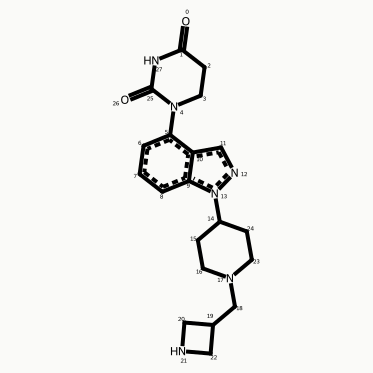 O=C1CCN(c2cccc3c2cnn3C2CCN(CC3CNC3)CC2)C(=O)N1